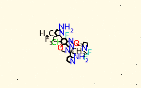 Cc1cc(N)nc(-c2c(Cl)c3c4c(nc(OC[C@@H]5CCCN5CC(F)F)nc4c2F)N([C@H](C)c2cccnc2N)CCO3)c1C(F)(F)F